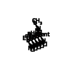 CCCCCCc1ccc(C#Cc2cnc(Cl)cn2)cc1.CCCCCc1ccc(C#Cc2cnc(Cl)cn2)cc1.CCCCc1ccc(C#Cc2cnc(Cl)cn2)cc1.CCCc1ccc(C#Cc2cnc(Cl)cn2)cc1.CCc1ccc(C#Cc2cnc(Cl)cn2)cc1.Cc1ccc(C#Cc2cnc(Cl)cn2)cc1